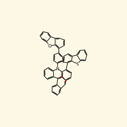 c1ccc(N(c2ccc(-c3cccc4c3oc3ccccc34)cc2)c2ccccc2-c2cccc3c2sc2ccccc23)c(-c2cccc3ccccc23)c1